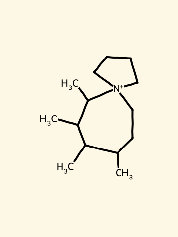 CC1CC[N+]2(CCCC2)C(C)C(C)C1C